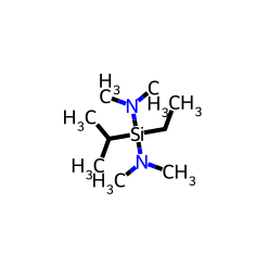 CC[Si](C(C)C)(N(C)C)N(C)C